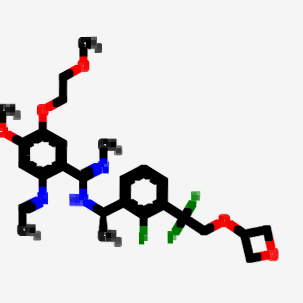 C/C=N/c1cc(OC)c(OCCOC)cc1/C(=N\C)N[C@H](C)c1cccc(C(F)(F)COC2COC2)c1F